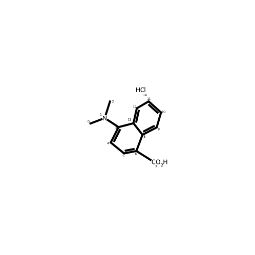 CN(C)c1ccc(C(=O)O)c2ccccc12.Cl